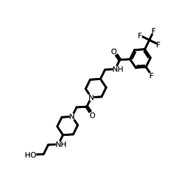 O=C(NCC1CCN(C(=O)CN2CCC(NCCO)CC2)CC1)c1cc(F)cc(C(F)(F)F)c1